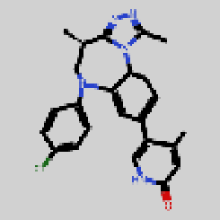 Cc1cc(=O)[nH]cc1C1=CCC2C(=C1)N(c1ccc(Cl)cc1)C[C@@H](C)c1nnc(C)n12